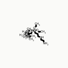 CCO[Si](CCCNCCN)(OCC)OCC([Si](C)(C)C)([Si](C)(C)C)[Si](C)(C)C